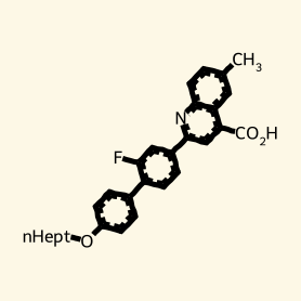 CCCCCCCOc1ccc(-c2ccc(-c3cc(C(=O)O)c4cc(C)ccc4n3)cc2F)cc1